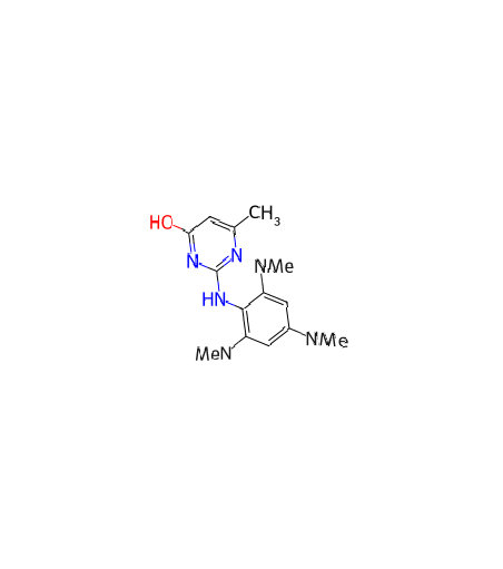 CNc1cc(NC)c(Nc2nc(C)cc(O)n2)c(NC)c1